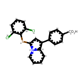 O=C(O)c1ccc(-c2cc(Sc3c(Cl)cccc3Cl)n3ccccc23)cc1